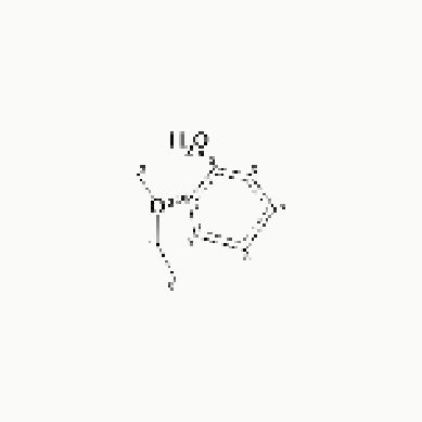 CCOC.O.c1ccccc1